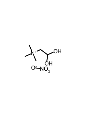 C[N+](C)(C)CC(O)O.O=[N+]([O-])[O-]